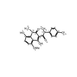 COc1ccc(O)c2c1c(O)c(C(=O)N(C)c1ccc(C(F)(F)F)cc1)c(=O)n2C